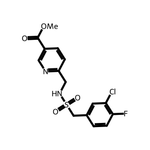 COC(=O)c1ccc(CNS(=O)(=O)Cc2ccc(F)c(Cl)c2)nc1